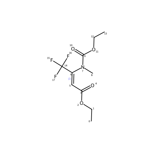 CCOC(=O)/C=C(\N(C)C(=O)OCC)C(F)(F)F